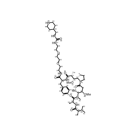 CC[C@H](C)[C@@H]([C@@H](CC(=O)N1CCC[C@H]1[C@H](OC)[C@@H](C)C(=O)N[C@@H](Cc1ccccc1)C(=O)NCCOCCOCCNC(=O)NCC1CCNCC1)OC)N(C)C(=O)[C@H](C)NC(=O)[C@H](C)N(C)C